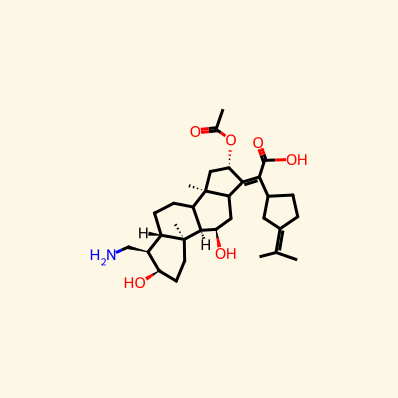 CC(=O)O[C@H]1C[C@@]2(C)C(C[C@@H](O)[C@@H]3C2CC[C@H]2[C@H](CN)[C@H](O)CC[C@@]23C)/C1=C(/C(=O)O)C1CCC(=C(C)C)C1